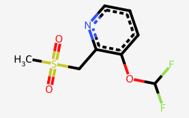 CS(=O)(=O)Cc1ncccc1OC(F)F